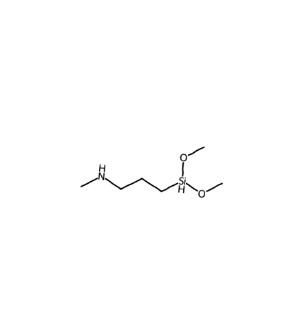 CNCCC[SiH](OC)OC